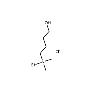 CC[N+](C)(C)CCCCO.[Cl-]